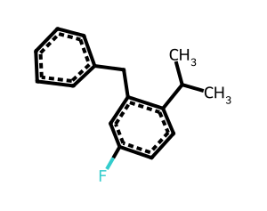 CC(C)c1ccc(F)cc1Cc1ccccc1